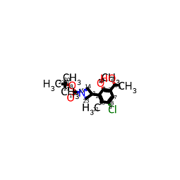 COc1c(C(C)O)cc(Cl)c(C)c1C1CN(C(=O)OC(C)(C)C)C1